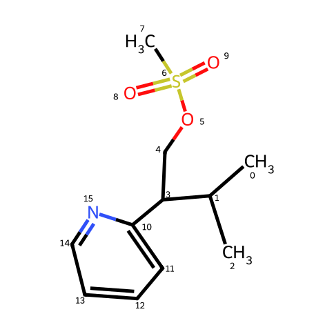 CC(C)C(COS(C)(=O)=O)c1ccccn1